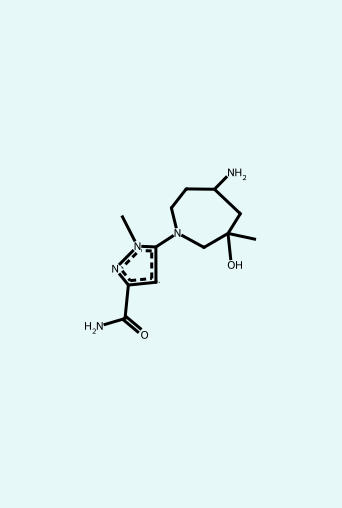 Cn1nc(C(N)=O)[c]c1N1CCC(N)CC(C)(O)C1